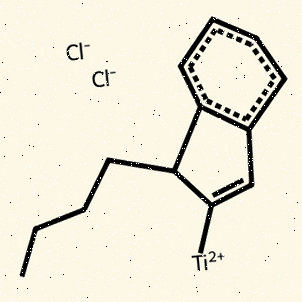 CCCCC1[C]([Ti+2])=Cc2ccccc21.[Cl-].[Cl-]